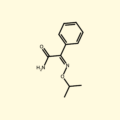 CC(C)ON=C(C(N)=O)c1ccccc1